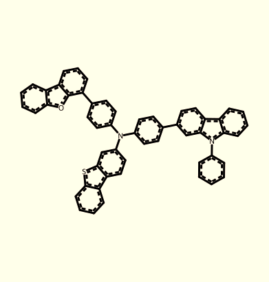 c1ccc(-n2c3ccccc3c3ccc(-c4ccc(N(c5ccc(-c6cccc7c6oc6ccccc67)cc5)c5ccc6c(c5)sc5ccccc56)cc4)cc32)cc1